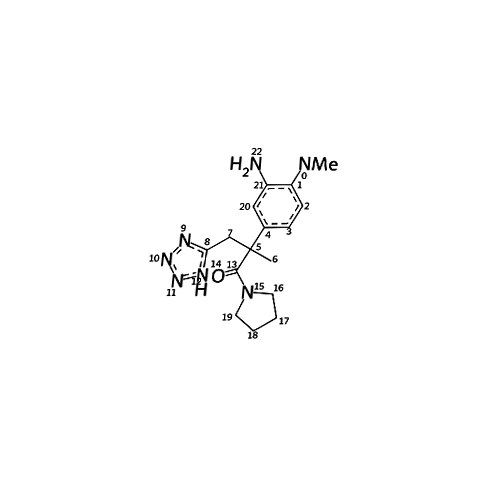 CNc1ccc(C(C)(Cc2nnn[nH]2)C(=O)N2CCCC2)cc1N